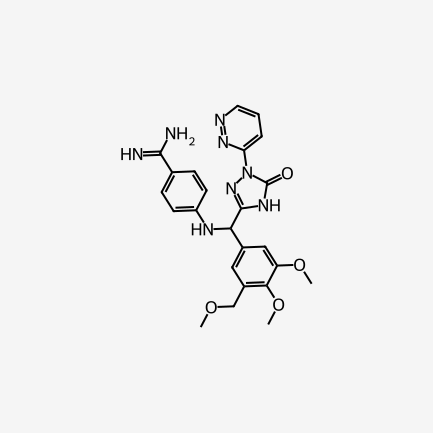 COCc1cc(C(Nc2ccc(C(=N)N)cc2)c2nn(-c3cccnn3)c(=O)[nH]2)cc(OC)c1OC